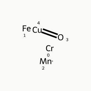 [Cr].[Fe].[Mn].[O]=[Cu]